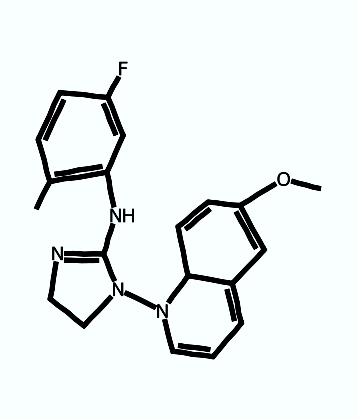 COC1=CC2=CC=CN(N3CCN=C3Nc3cc(F)ccc3C)C2C=C1